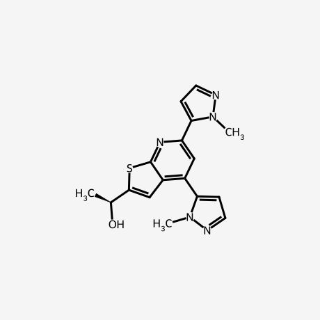 C[C@H](O)c1cc2c(-c3ccnn3C)cc(-c3ccnn3C)nc2s1